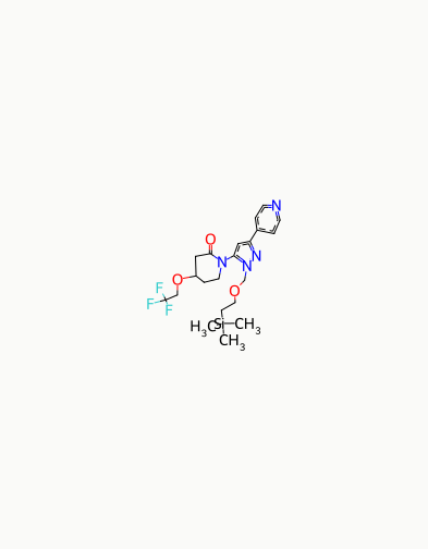 C[Si](C)(C)CCOCn1nc(-c2ccncc2)cc1N1CCC(OCC(F)(F)F)CC1=O